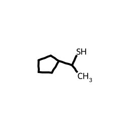 CC(S)C1CCCC1